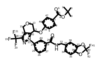 CC(C)(C)OC(=O)c1ccc(OC2COCc3c(C(F)(F)F)nn(-c4cccc(C(=O)NCc5ccc6c(c5)OC(F)(F)O6)c4)c32)cc1